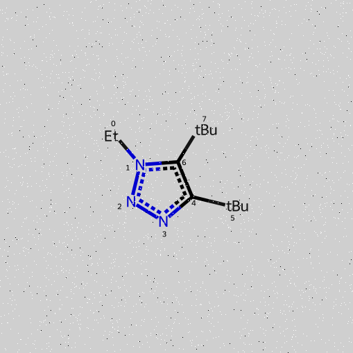 CCn1nnc(C(C)(C)C)c1C(C)(C)C